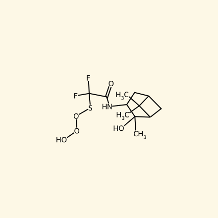 CC1(C)C2CC(NC(=O)C(F)(F)SOOO)C(C)(O)C1C2